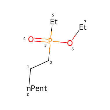 CCCCCCCP(=O)(CC)OCC